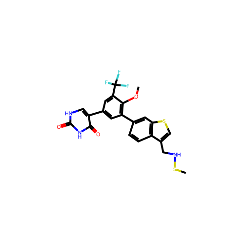 COc1c(-c2ccc3c(CNSC)csc3c2)cc(-c2c[nH]c(=O)[nH]c2=O)cc1C(F)(F)F